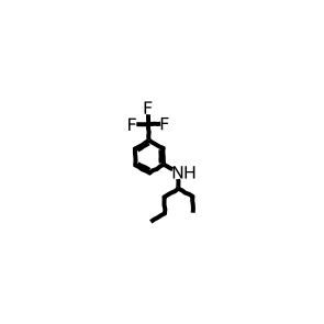 CCCC(CC)Nc1cccc(C(F)(F)F)c1